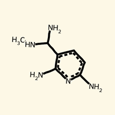 CNC(N)c1ccc(N)nc1N